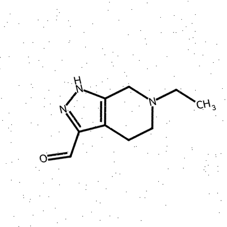 CCN1CCc2c(C=O)n[nH]c2C1